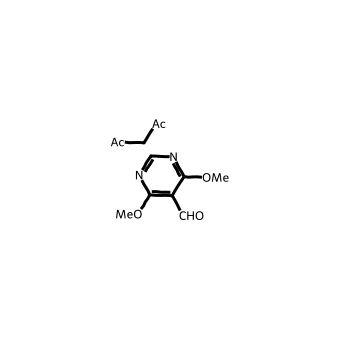 CC(=O)CC(C)=O.COc1ncnc(OC)c1C=O